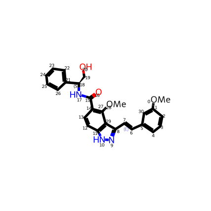 COc1cccc(/C=C/c2n[nH]c3ccc(C(=O)N[C@H](CO)c4ccccc4)c(OC)c23)c1